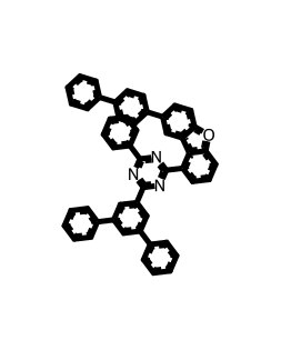 c1ccc(-c2ccc(-c3ccc4oc5cccc(-c6nc(-c7ccccc7)nc(-c7cc(-c8ccccc8)cc(-c8ccccc8)c7)n6)c5c4c3)cc2)cc1